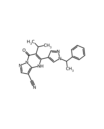 CC(C)c1c(-c2cnn(C(C)c3ccccc3)c2)[nH]c2c(C#N)cnn2c1=O